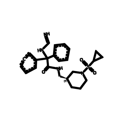 N=CNC(C(=O)NC[C@H]1CCCN(S(=O)(=O)C2CC2)C1)(c1ccccc1)c1ccccc1